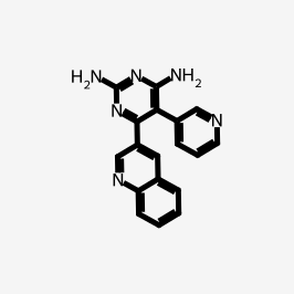 Nc1nc(N)c(-c2cccnc2)c(-c2cnc3ccccc3c2)n1